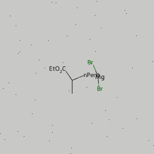 CCCCCC(C)C(=O)OCC.[Br][Mg][Br]